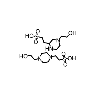 O=S(=O)(O)CCC1CN(CCO)CCN1.O=S(=O)(O)CCN1CCN(CCO)CC1